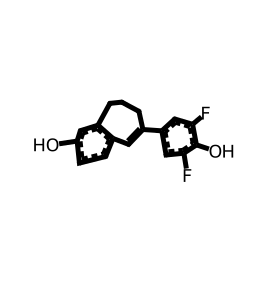 Oc1ccc2c(c1)CCCC(c1cc(F)c(O)c(F)c1)=C2